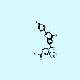 CC1(C)CN(C(=O)O)CCN1C(=O)c1cc2nc(-c3ccc(F)cc3)cc(Cl)c2o1